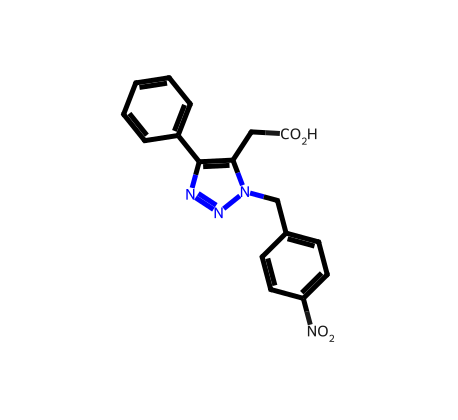 O=C(O)Cc1c(-c2ccccc2)nnn1Cc1ccc([N+](=O)[O-])cc1